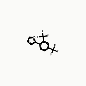 FC(F)(F)c1c[c]c(-c2ccco2)c(C(F)(F)F)c1